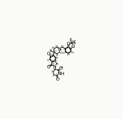 O=C1CCC(N2Cc3cc4c(cc3C2=O)OCC42CCN(Cc3cccc4c3OC(F)(F)O4)CC2)C(=O)N1